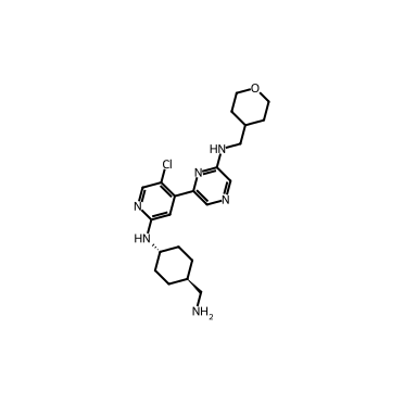 NC[C@H]1CC[C@H](Nc2cc(-c3cncc(NCC4CCOCC4)n3)c(Cl)cn2)CC1